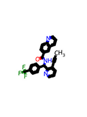 CC#Cc1cccnc1C(NC(=O)c1ccc2ncccc2c1)c1ccc(C(F)(F)F)cc1